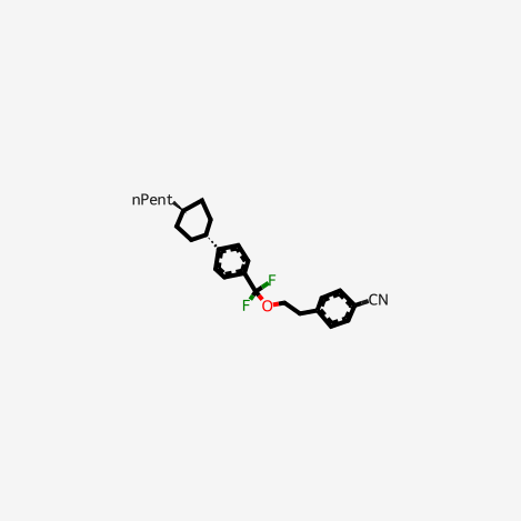 CCCCC[C@H]1CC[C@H](c2ccc(C(F)(F)OCCc3ccc(C#N)cc3)cc2)CC1